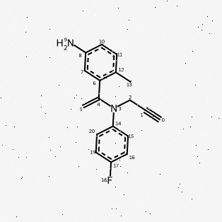 C#CCN(C(=C)c1cc(N)ccc1C)c1ccc(F)cc1